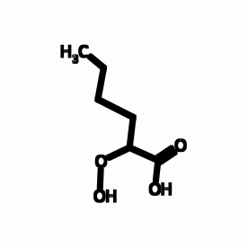 CCCCC(OO)C(=O)O